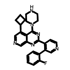 Fc1ccccc1-c1cnccc1-c1nc(N2CCNCC2)c2c(C3CCC3)cncc2n1